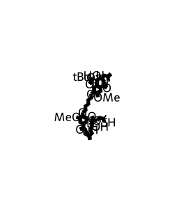 C=C1C[C@H]2[C@H](O)N(C(=O)OC[C@@H](C)S)c3cc(OCCCCCOc4cc5c(cc4OC)C(=O)N4CC(=C)C[C@H]4[C@H](O)N5C(=O)OC(C)(C)C)c(OC)cc3C(=O)N2C1